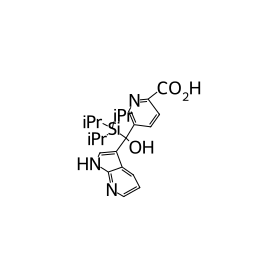 CC(C)[Si](C(C)C)(C(C)C)C(O)(c1ccc(C(=O)O)nc1)c1c[nH]c2ncccc12